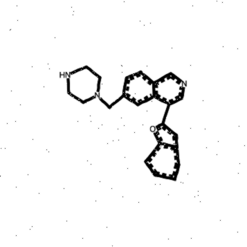 c1ccc2oc(-c3cncc4ccc(CN5CCNCC5)cc34)cc2c1